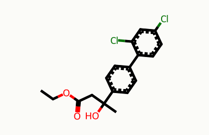 CCOC(=O)CC(C)(O)c1ccc(-c2ccc(Cl)cc2Cl)cc1